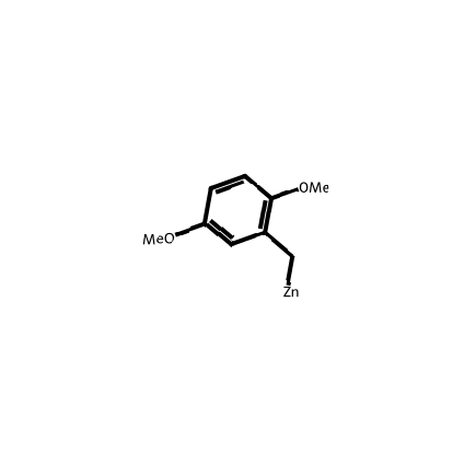 COc1ccc(OC)c([CH2][Zn])c1